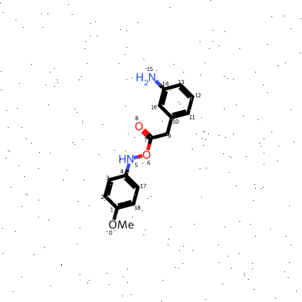 COc1ccc(NOC(=O)Cc2cccc(N)c2)cc1